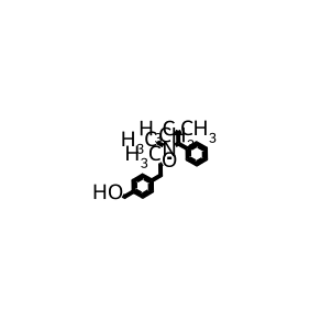 CC(C)C(c1ccccc1)N(OCCc1ccc(CO)cc1)C(C)(C)C